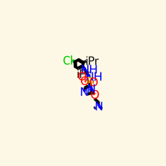 CC(C)c1cc(Cl)cc(C(C)C)c1NC(=O)NS(=O)(=O)c1cncc(OCCN(C)C)n1